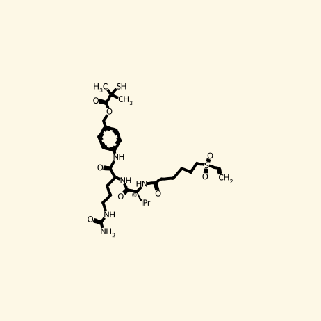 C=CS(=O)(=O)CCCCCC(=O)N[C@H](C(=O)NC(CCCNC(N)=O)C(=O)Nc1ccc(COC(=O)C(C)(C)S)cc1)C(C)C